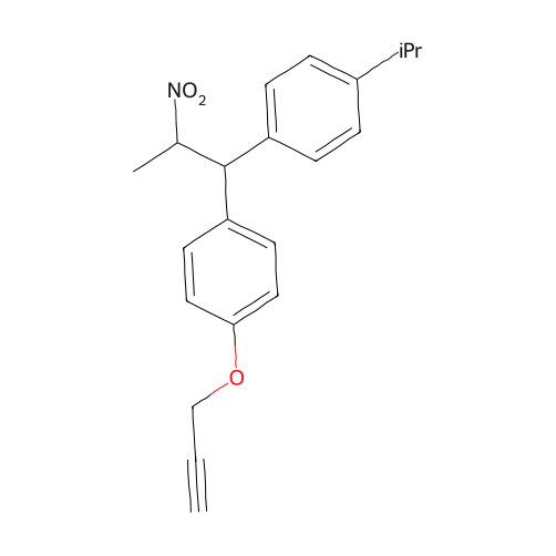 C#CCOc1ccc(C(c2ccc(C(C)C)cc2)C(C)[N+](=O)[O-])cc1